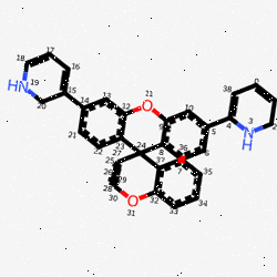 C1=CCNC(c2ccc3c(c2)Oc2cc(C4=CC=CNC4)ccc2C32c3ccccc3Oc3ccccc32)=C1